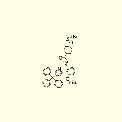 CCCCOc1cccc(/C=C/C(=O)C2CCC(O[Si](C)(C)C(C)(C)C)CC2)c1-c1cn(C(c2ccccc2)(c2ccccc2)c2ccccc2)cn1